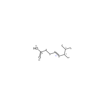 CC(C)C(C)/C=C/CCC(=O)O